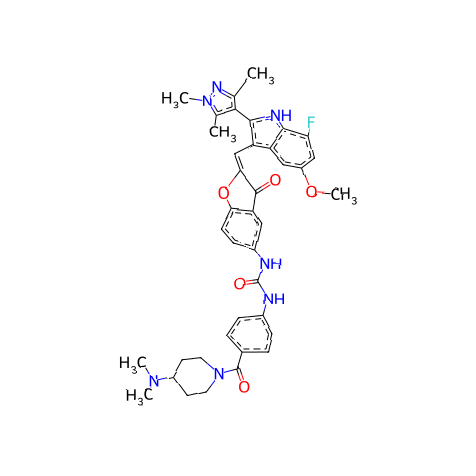 COc1cc(F)c2[nH]c(-c3c(C)nn(C)c3C)c(C=C3Oc4ccc(NC(=O)Nc5ccc(C(=O)N6CCC(N(C)C)CC6)cc5)cc4C3=O)c2c1